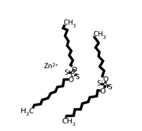 CCCCCCCCCCOP(=S)([S-])OCCCCCCCCCC.CCCCCCCCCCOP(=S)([S-])OCCCCCCCCCC.[Zn+2]